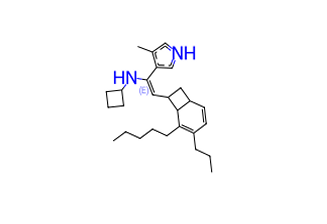 CCCCCC1=C(CCC)C=CC2CC(/C=C(/NC3CCC3)c3c[nH]cc3C)C12